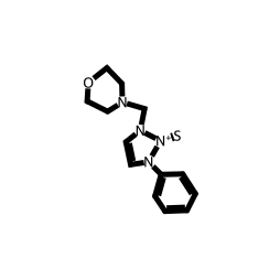 S=[n+]1n(CN2CCOCC2)ccn1-c1ccccc1